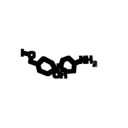 NC1CCN(C2(O)CCC(COI)CC2)CC1